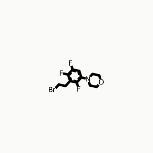 Fc1cc(N2CCOCC2)c(F)c(CCBr)c1F